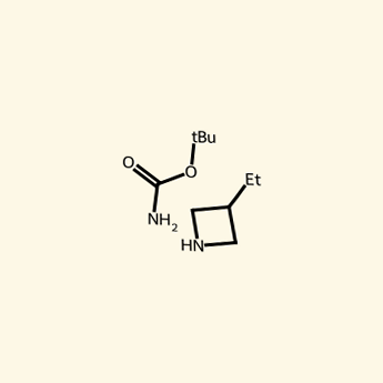 CC(C)(C)OC(N)=O.CCC1CNC1